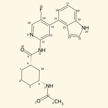 CC(=O)N[C@@H]1CCC[C@H](C(=O)Nc2cc(-c3cccc4[nH]ccc34)c(F)cn2)C1